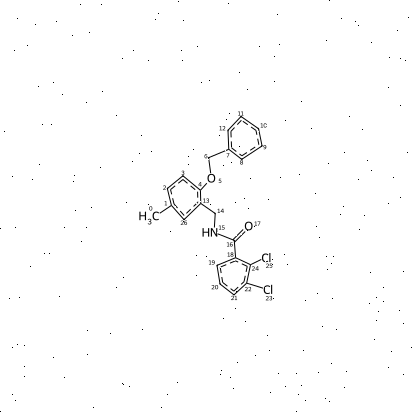 Cc1ccc(OCc2ccccc2)c(CNC(=O)c2cccc(Cl)c2Cl)c1